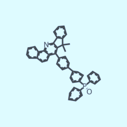 CC1(C)c2ccccc2-c2nc3c(ccc4ccccc43)c(-c3ccc(-c4ccc(P(=O)(c5ccccc5)c5ccccc5)cc4)cc3)c21